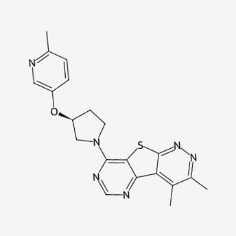 Cc1ccc(O[C@H]2CCN(c3ncnc4c3sc3nnc(C)c(C)c34)C2)cn1